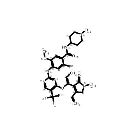 C=CC1=C(/C(=C\C)Oc2nc(Nc3cc(F)c(C(=O)NC4CCN(C)CC4)cc3OC)ncc2C(F)(F)F)C(=O)N(C)C1